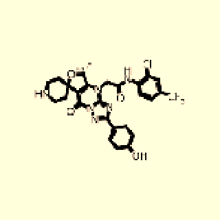 C[C@H]1OC2(CCNCC2)c2c1n(CC(=O)Nc1ccc(C(F)(F)F)cc1Cl)c1nc(C3=CCC(O)CC3)nn1c2=O